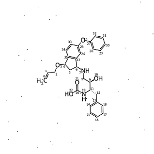 C=CCOC1CC(NC[C@@H](O)[C@H](Cc2ccccc2)NC(=O)O)c2cc(Oc3ccccc3)ccc21